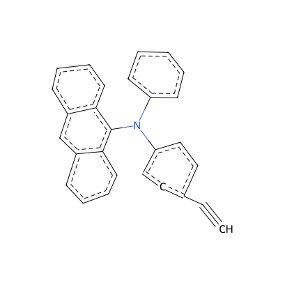 C#Cc1ccc(N(c2ccccc2)c2c3ccccc3cc3ccccc23)cc1